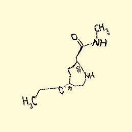 CCO[C@H]1CN[C@H](C(=O)NC)C1